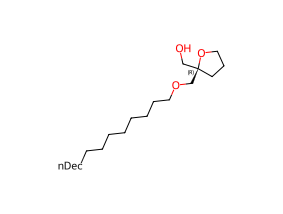 CCCCCCCCCCCCCCCCCCOC[C@]1(CO)CCCO1